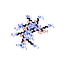 N=C(N)NCCC[C@H](NC(=O)[C@H](CCCCN)NC(=O)[C@H](CCCCN)NC(=O)[C@H](CCCNC(=N)N)NC(=O)[C@H](CCCCN)NC(=O)[C@H](CCCCN)NC(=O)[C@H](CCCNC(=N)N)NC(=O)[C@@H](N)CCCCN)C(=O)N[C@@H](CCCCN)C(=O)O